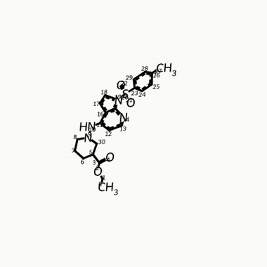 CCOC(=O)C1CCCN(Nc2ccnc3c2ccn3S(=O)(=O)c2ccc(C)cc2)C1